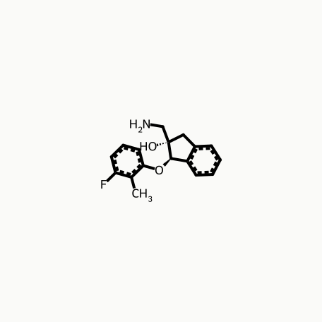 Cc1c(F)cccc1O[C@@H]1c2ccccc2C[C@]1(O)CN